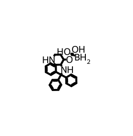 BC(O)(O)OC1CCNCC1NC(c1ccccc1)(c1ccccc1)c1ccccc1